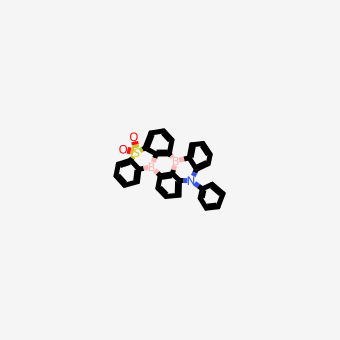 O=S1(=O)c2ccccc2B2c3cccc4c3B(c3ccccc3N4c3ccccc3)c3cccc1c32